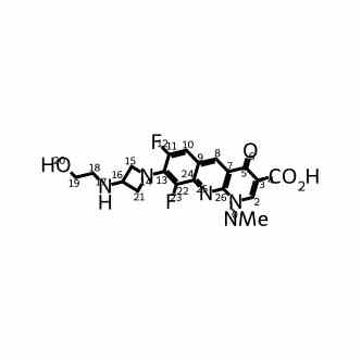 CNn1cc(C(=O)O)c(=O)c2cc3cc(F)c(N4CC(NCCO)C4)c(F)c3nc21